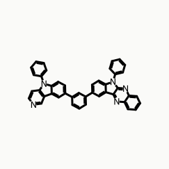 c1ccc(-n2c3ccncc3c3cc(-c4cccc(-c5ccc6c(c5)c5nc7ccccc7nc5n6-c5ccccc5)c4)ccc32)cc1